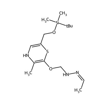 C/C=N\NCOC1=C(C)NC=C(CO[Si](C)(C)C(C)(C)C)S1